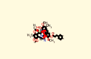 COc1cc2c(cc1OC(=O)CCc1ccccc1)CCN[C@]21CS[C@@H]2c3c(OC(C)=O)c(C)c4c(c3[C@H](COC1=O)N1C2[C@H]2c3c(cc(C)c(OC)c3O)C[C@@H]([C@@H]1C#N)N2C)OCO4